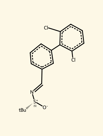 CC(C)(C)[S@@+]([O-])N=Cc1cccc(-c2c(Cl)cccc2Cl)c1